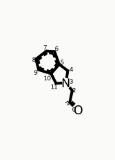 O=[C]CN1Cc2ccccc2C1